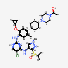 CC(=O)N1CCN([C@H]2CC[C@@H](c3cc(OC4CC4)c(Nc4ncc(Cl)c(Nc5cn(C)nc5[S+]([O-])C(C)C)n4)cc3C)CC2)CC1